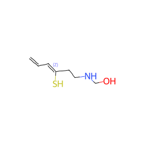 C=C/C=C(\S)CCNCO